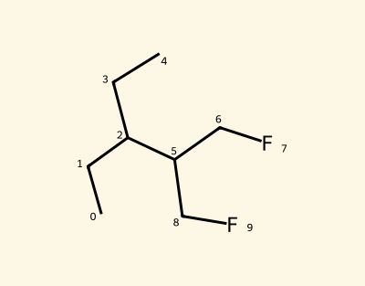 CCC(CC)C(CF)CF